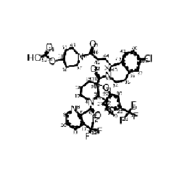 CCC[C@H]1N(C(=O)c2ncccc2C(F)(F)F)CCC[C@@]1(Oc1csc(C(F)(F)F)c1)C(=O)N1CCc2cc(Cl)ccc2[C@@H]1CCC(=O)N1CCC(OC(=O)O)CC1